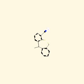 CC1c2ccccc2CSc2c(C#N)cccc21